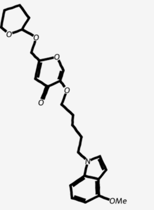 COc1cccc2c1ccn2CCCCCOc1coc(COC2CCCCO2)cc1=O